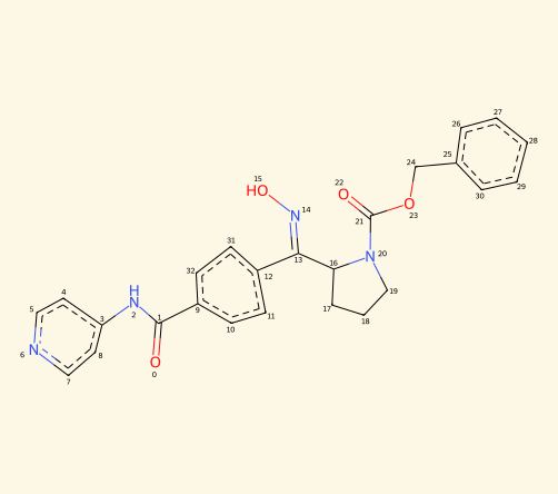 O=C(Nc1ccncc1)c1ccc(C(=NO)C2CCCN2C(=O)OCc2ccccc2)cc1